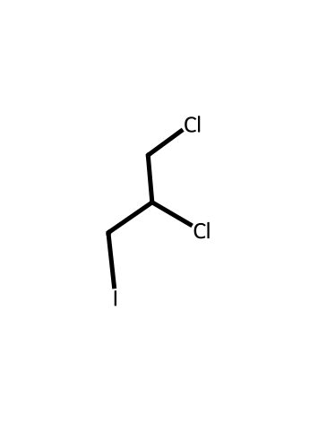 ClCC(Cl)CI